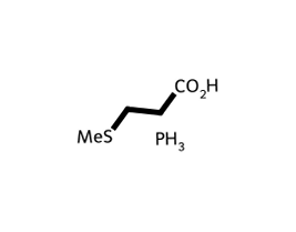 CSCCC(=O)O.P